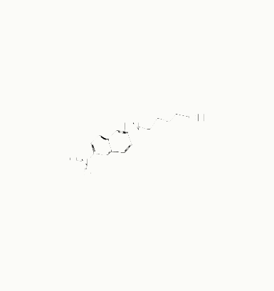 O=[N+]([O-])c1ccc2cc(NCCCCO)ccc2c1